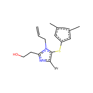 C=CCn1c(CCO)nc(C(C)C)c1Sc1cc(C)cc(C)c1